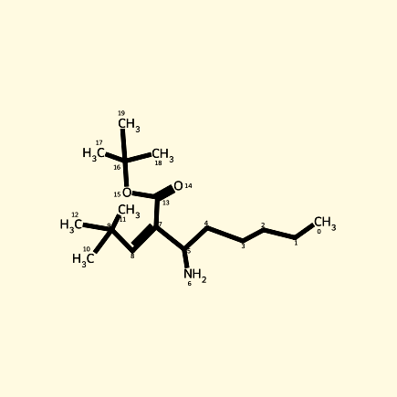 CCCCCC(N)C(=CC(C)(C)C)C(=O)OC(C)(C)C